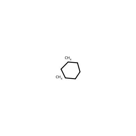 C.C.C1CCCCC1